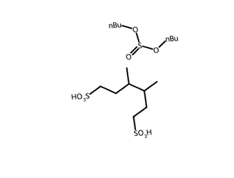 CC(CCS(=O)(=O)O)C(C)CCS(=O)(=O)O.CCCCOS(=O)OCCCC